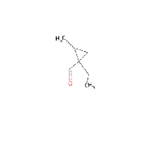 CCC1(C=O)CC1C